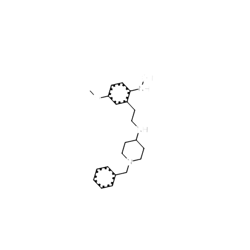 COc1ccc(NO)c(CCNC2CCN(Cc3ccccc3)CC2)c1